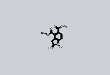 COC(=O)c1ccc2c(c1C(=O)OC(C)(C)C)CC(=N)[S+]2[O-]